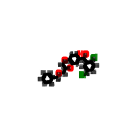 OC(c1ccc2c(c1)OC(COCc1ccccc1)CO2)c1cc(Br)ccc1Cl